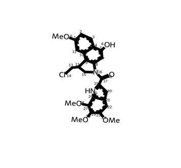 COc1ccc2c(O)cc3c(c2c1)C(CCl)CN3C(=O)c1cc2cc(OC)c(OC)c(OC)c2[nH]1